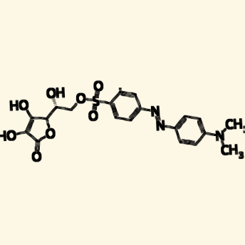 CN(C)c1ccc(N=Nc2c[c]c(S(=O)(=O)OC[C@@H](O)C3OC(=O)C(O)=C3O)cc2)cc1